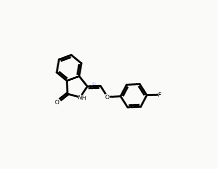 O=C1N/C(=C\Oc2ccc(F)cc2)c2ccccc21